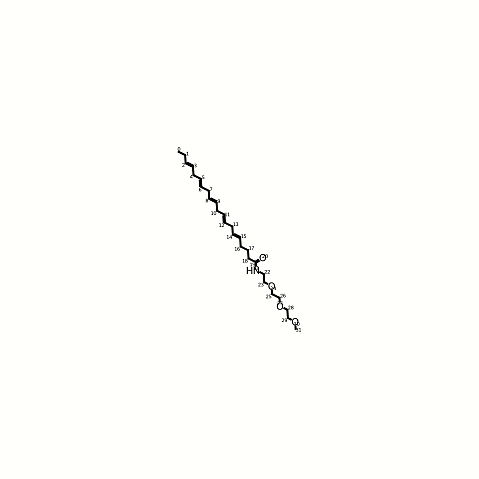 CCC=CCC=CCC=CCC=CCC=CCCCC(=O)NCCOCCOCCOC